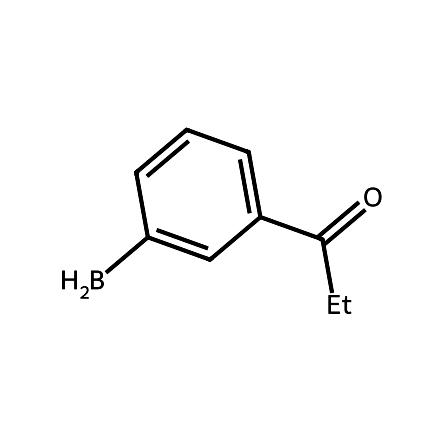 Bc1cccc(C(=O)CC)c1